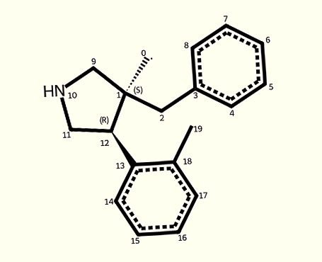 [CH2][C@@]1(Cc2ccccc2)CNC[C@@H]1c1ccccc1C